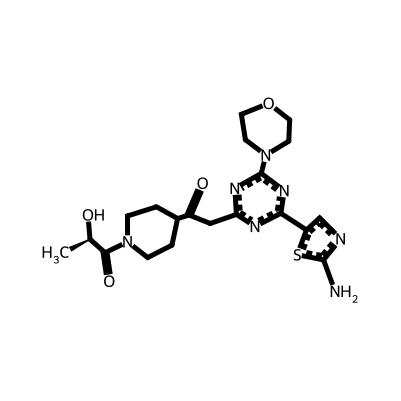 C[C@@H](O)C(=O)N1CCC(C(=O)Cc2nc(-c3cnc(N)s3)nc(N3CCOCC3)n2)CC1